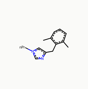 CCCn1cnc(Cc2c(C)cccc2C)c1